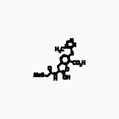 CSCC(=O)NC1Cc2ccc(Sc3nncn3C)c(C(=O)O)c2OB1O